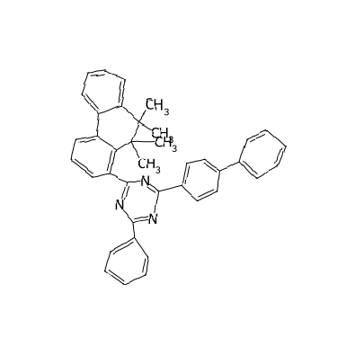 CC1(C)c2ccccc2-c2cccc(-c3nc(-c4ccccc4)nc(-c4ccc(-c5ccccc5)cc4)n3)c2C1(C)C